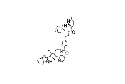 Cc1ccc(C(=O)CCCc2ccc(C(=O)N3CCc4c(sc(-c5nc6ccccc6[nH]5)c4F)-c4ncccc43)cc2)c(N2CC3(CCOCC3)C2)n1